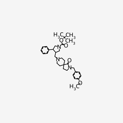 COc1ccc(CN2CCC3(CCN(CC4CN(C(=O)OC(C)(C)C)CC4c4ccccc4)CC3)C2=O)cc1